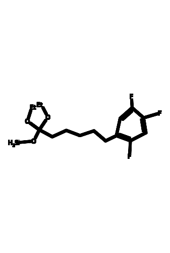 CCOC(CCCCCc1cc(F)c(F)cc1F)(O[SiH3])OCC